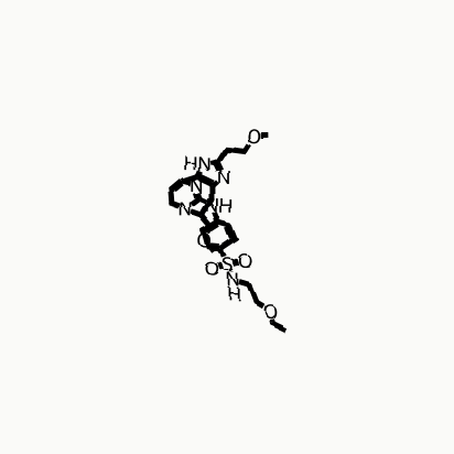 CCOCCNS(=O)(=O)c1ccc(NC2=NC3=CCN2C(COC)Cc2nc(CCOC)[nH]c23)cc1